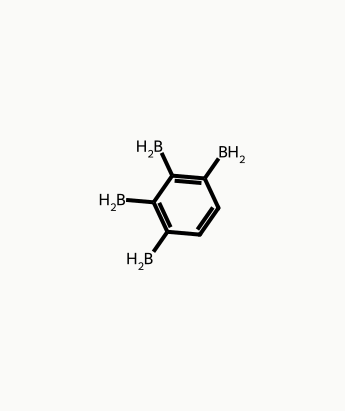 Bc1ccc(B)c(B)c1B